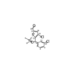 C[Si](C)(C)OC(c1cccc(Cl)c1)c1sc(C=O)cc1Cl